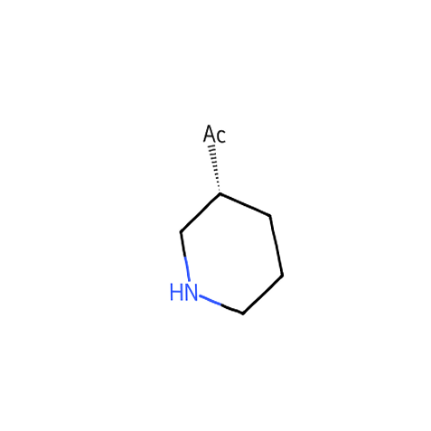 CC(=O)[C@@H]1CCCNC1